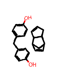 C1=CC2C3C=CC(C3)C2C1.Oc1ccc(Cc2ccc(O)cc2)cc1